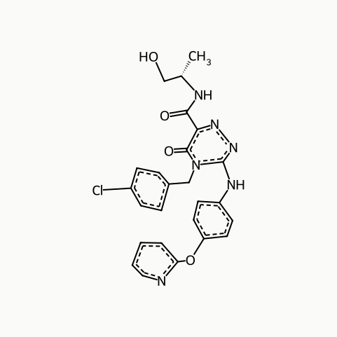 C[C@@H](CO)NC(=O)c1nnc(Nc2ccc(Oc3ccccn3)cc2)n(Cc2ccc(Cl)cc2)c1=O